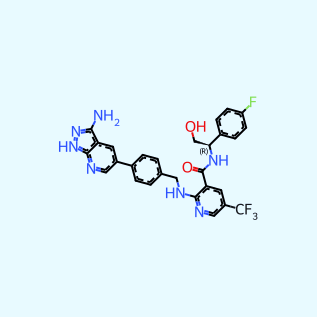 Nc1n[nH]c2ncc(-c3ccc(CNc4ncc(C(F)(F)F)cc4C(=O)N[C@@H](CO)c4ccc(F)cc4)cc3)cc12